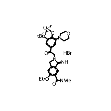 Br.CCOc1cc2c(cc1C(=O)NC)C(=N)N(CC(=O)c1cc(N3CCOCC3)c(OS(C)(=O)=O)c(C(C)(C)C)c1)C2